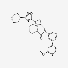 COc1cc(-c2cccc(N(CC34CC(c5nc(C6CCOCC6)no5)(C3)C4)C(=O)C3CCCCC3)c2)ccn1